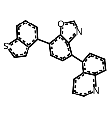 c1cc(-c2ccc(-c3cccc4sccc34)c3ocnc23)c2cccnc2c1